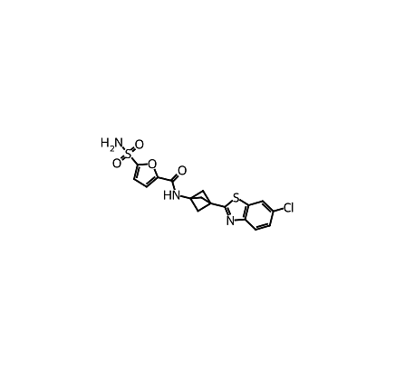 NS(=O)(=O)c1ccc(C(=O)NC23CC(c4nc5ccc(Cl)cc5s4)(C2)C3)o1